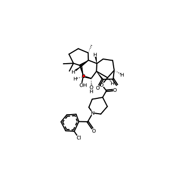 C=C1C(=O)[C@]23[C@H](OC(=O)C4CCN(C(=O)c5ccccc5Cl)CC4)[C@H]1CC[C@H]2[C@@]12CO[C@@]3(O)[C@@H](O)[C@@H]1C(C)(C)CC[C@@H]2C